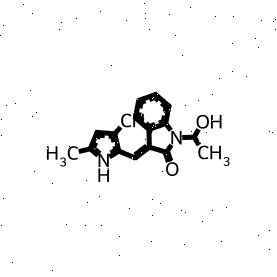 Cc1cc(C)c(C=C2C(=O)N(C(C)O)c3ccccc32)[nH]1